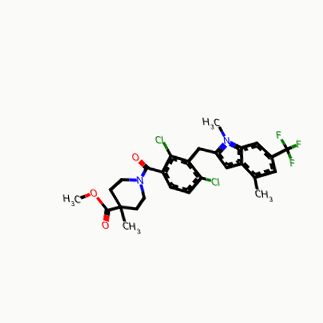 COC(=O)C1(C)CCN(C(=O)c2ccc(Cl)c(Cc3cc4c(C)cc(C(F)(F)F)cc4n3C)c2Cl)CC1